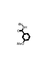 CCC(C)NC(=O)c1cccc(OC)c1